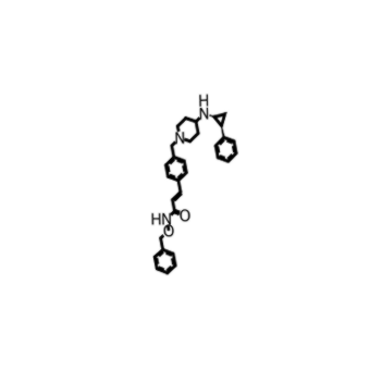 O=C(C=Cc1ccc(CN2CCC(N[C@@H]3C[C@H]3c3ccccc3)CC2)cc1)NOCc1ccccc1